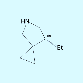 CC[C@H]1CNCC12CC2